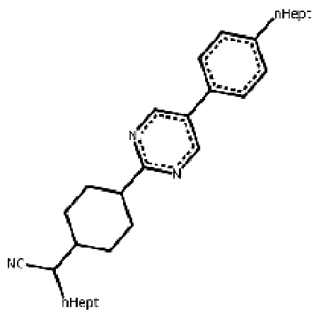 CCCCCCCc1ccc(-c2cnc(C3CCC(C(C#N)CCCCCCC)CC3)nc2)cc1